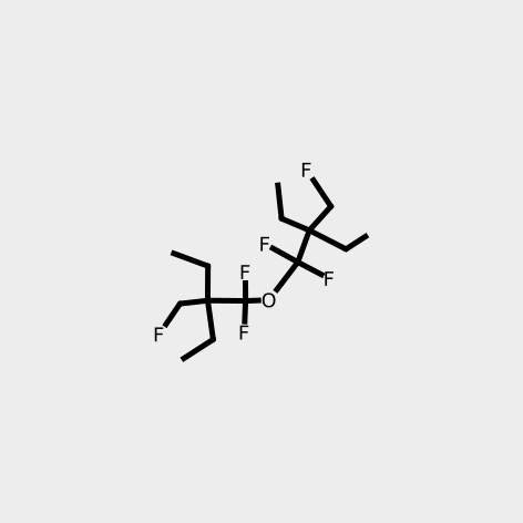 CCC(CC)(CF)C(F)(F)OC(F)(F)C(CC)(CC)CF